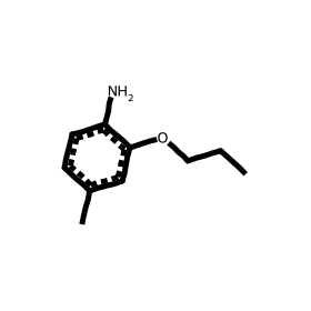 CCCOc1cc(C)ccc1N